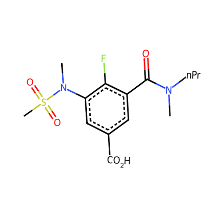 CCCN(C)C(=O)c1cc(C(=O)O)cc(N(C)S(C)(=O)=O)c1F